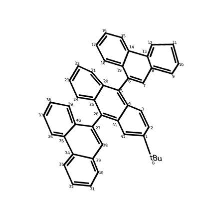 CC(C)(C)c1ccc2c(-c3cc4ccccc4c4ccccc34)c3ccccc3c(-c3cc4ccccc4c4ccccc34)c2c1